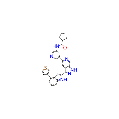 O=C(Nc1cncc(-c2cc3c(-c4cc5c(-c6ccsc6)cccc5[nH]4)n[nH]c3cn2)c1)C1CCCC1